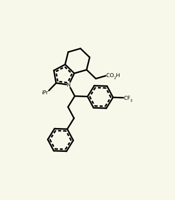 CC(C)c1cc2c(n1C(CCc1ccccc1)c1ccc(C(F)(F)F)cc1)C(CC(=O)O)CCC2